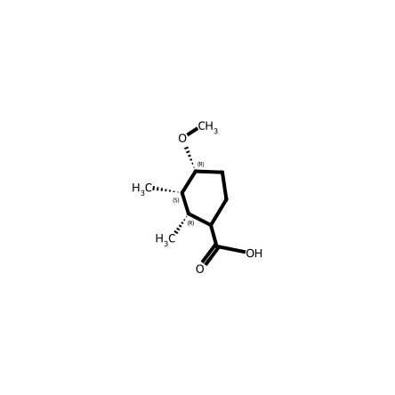 CO[C@@H]1CCC(C(=O)O)[C@H](C)[C@@H]1C